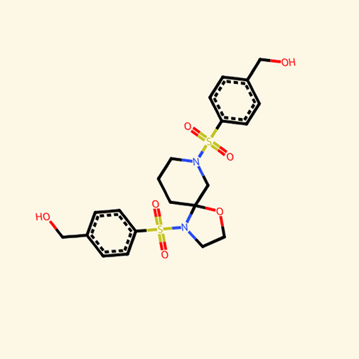 O=S(=O)(c1ccc(CO)cc1)N1CCCC2(C1)OCCN2S(=O)(=O)c1ccc(CO)cc1